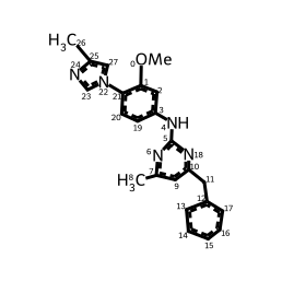 COc1cc(Nc2nc(C)cc(Cc3ccccc3)n2)ccc1-n1cnc(C)c1